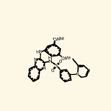 COc1cc(Nc2nc3ccccc3nc2NS(=O)(=O)c2cccc(N3CC=CC=C3C)c2)cc(OC)c1